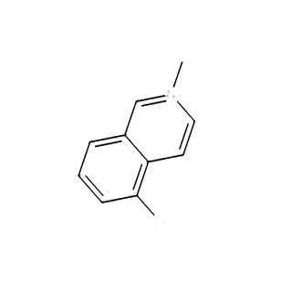 C[n+]1ccc2c(O)cccc2c1.[I-]